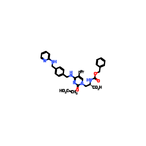 CC(=O)O.CCCc1cn(C[C@H](NC(=O)OCc2ccccc2)C(=O)O)c(=O)nc1NCc1ccc(CNc2ccccn2)cc1